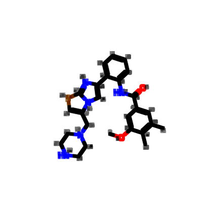 COc1cc(C(=O)Nc2ccccc2-c2cn3c(CN4CCNCC4)csc3n2)cc(C)c1C